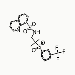 CC(C)(CNS(=O)(=O)c1cccc2cccnc12)S(=O)(=O)c1cccc(C(F)(F)F)c1